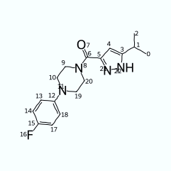 CC(C)c1cc(C(=O)N2CCN(c3ccc(F)cc3)CC2)n[nH]1